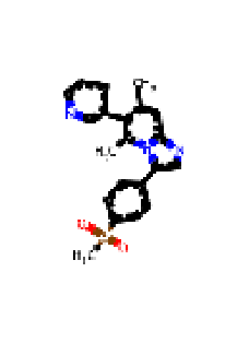 Cc1cc2ncc(-c3ccc(S(C)(=O)=O)cc3)n2c(C)c1-c1cccnc1